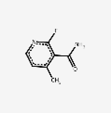 Cc1ccnc(F)c1C(N)=O